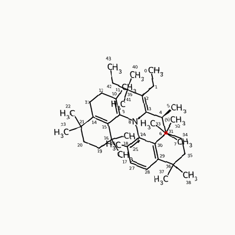 CCC(=C([C@@H](C)CC)N(C1=C(C)CCC2=C1C(C)(C)CCC2(C)C)c1c(C)ccc2c1C(C)(C)CCC2(C)C)C(C)(C)CC